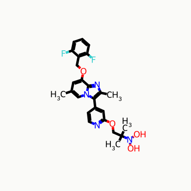 Cc1cc(OCc2c(F)cccc2F)c2nc(C)c(-c3ccnc(OCC(C)(C)N(O)O)c3)n2c1